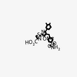 COc1c(Cc2ccc(S(N)(=O)=O)cc2)c(-c2ccc(C)c(C)c2)nn1-c1nc(C(=O)O)cs1